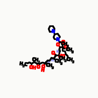 CCC(O)CCC(C)(OC)C(/C=C/C(C)C(=O)/C(C)=C/C=C/C(C)(O)CC1OC1C(C)C(O)CC)OC(=O)N1CCC(N2CCCCC2)CC1